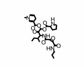 CCCNC(=O)C1OC1C(=O)NC(C(=O)C(OC(=O)C1=CN(C)C=CC1)OC(=O)C1CCCN1)C(C)CC